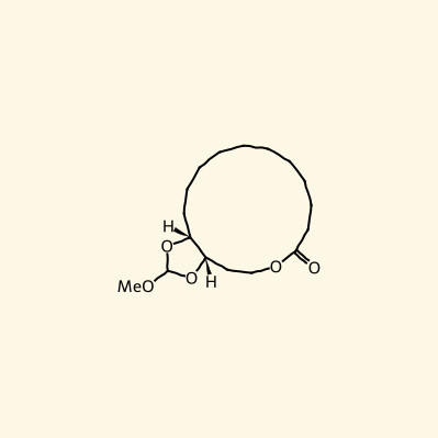 COC1O[C@H]2CCOC(=O)CCCCCCCCCC[C@H]2O1